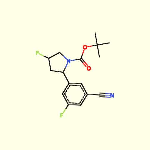 CC(C)(C)OC(=O)N1CC(F)CC1c1cc(F)cc(C#N)c1